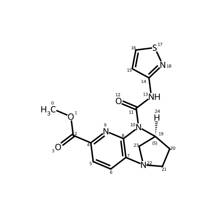 COC(=O)c1ccc2c(n1)N(C(=O)Nc1ccsn1)[C@H]1CCN2C1